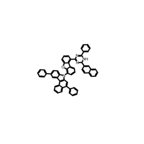 c1ccc(C2=NC(c3cccc4oc5c(-n6c7ccc(-c8ccccc8)cc7c7c8ccccc8c(-c8ccccc8)cc76)cccc5c34)=NC(c3ccc4ccccc4c3)N2)cc1